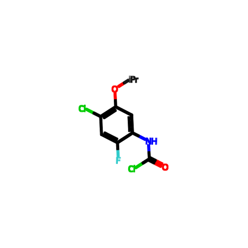 CC(C)Oc1cc(NC(=O)Cl)c(F)cc1Cl